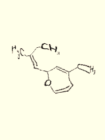 CC(C)=CC1C=C(C)C=CO1